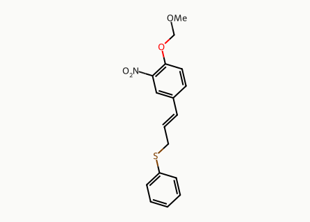 COCOc1ccc(C=CCSc2ccccc2)cc1[N+](=O)[O-]